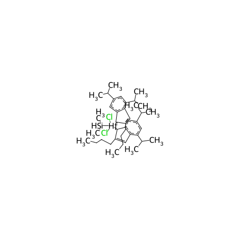 CCCCC1=Cc2c(C(C)C)cc(C(C)C)cc2[CH]1[Hf]([Cl])([Cl])([CH]1C(CCCC)=Cc2c(C(C)C)cc(C(C)C)cc21)[SiH](C)C